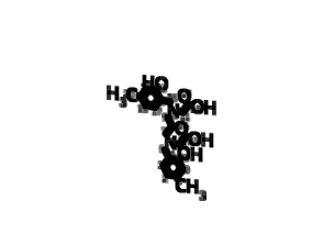 Cc1ccc(CN(CCCN(CC(=O)O)Cc2ccc(C)cc2O)CC(=O)O)c(O)c1